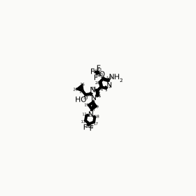 Nc1ncc(-c2cn(C34CC(N5CCC(F)(F)CC5)(C3)C4)c([C@H](O)C3CC3)n2)cc1OC(F)(F)F